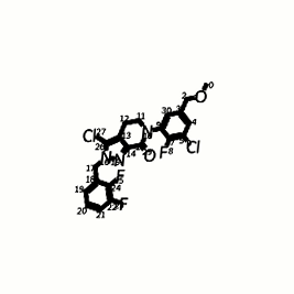 COCc1cc(Cl)c(F)c(N2CCc3c(nn(Cc4cccc(F)c4F)c3Cl)C2=O)c1